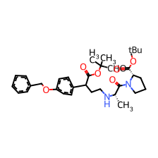 C[C@H](NCCC(C(=O)OC(C)(C)C=O)c1ccc(OCc2ccccc2)cc1)C(=O)N1CCC[C@H]1C(=O)OC(C)(C)C